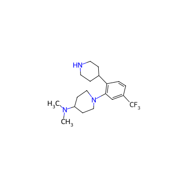 CN(C)C1CCN(c2cc(C(F)(F)F)ccc2C2CCNCC2)CC1